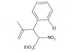 C=C(C)C(c1ccccc1Cl)C(C(=O)OCC)[N+](=O)[O-]